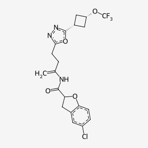 C=C(CCc1nnc([C@H]2C[C@@H](OC(F)(F)F)C2)o1)NC(=O)C1Cc2cc(Cl)ccc2O1